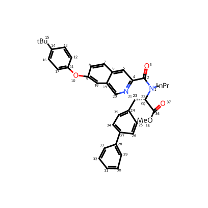 CCCN(C(=O)c1cc2ccc(Oc3ccc(C(C)(C)C)cc3)cc2cn1)[C@@H](Cc1ccc(-c2ccccc2)cc1)C(=O)OC